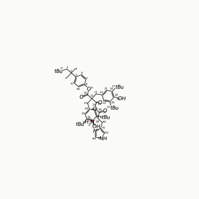 CC(C)(C)CC(C)(C)c1ccc(OC(=O)C(Cc2cc(C(C)(C)C)c(O)c(C(C)(C)C)c2)(Cc2cc(C(C)(C)C)c(O)c(C(C)(C)C)c2)C(=O)OC(=O)[C@@H](N)Cc2c[nH]cn2)cc1